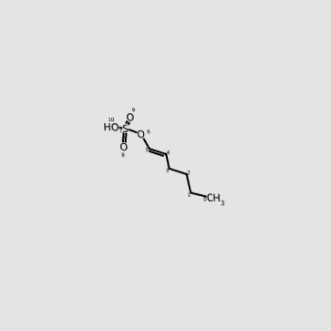 CCCCC=COS(=O)(=O)O